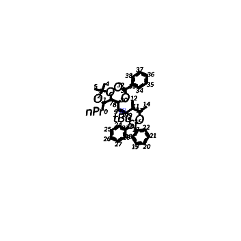 CCCC1OC(C)(C)OC1C(/C=C\C(C)C(C)O[Si](c1ccccc1)(c1ccccc1)C(C)(C)C)OC(=O)c1ccccc1